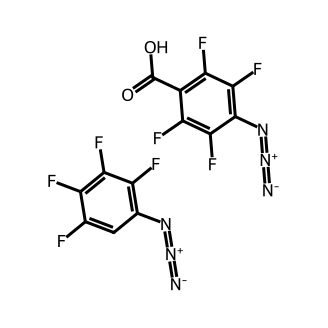 [N-]=[N+]=Nc1c(F)c(F)c(C(=O)O)c(F)c1F.[N-]=[N+]=Nc1cc(F)c(F)c(F)c1F